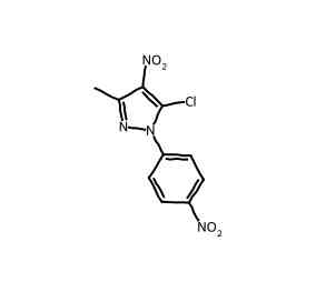 Cc1nn(-c2ccc([N+](=O)[O-])cc2)c(Cl)c1[N+](=O)[O-]